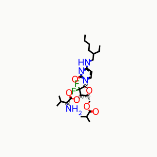 CCCCC(CC)CNc1ccn([C@@H]2O[C@H](COC(=O)C(C)C)[C@@H](OC(=O)[C@@H](N)C(C)C)C2(F)F)c(=O)n1